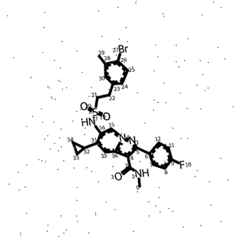 CNC(=O)c1c(-c2ccc(F)cc2)nn2cc(NS(=O)(=O)CCc3ccc(Br)c(C)c3)c(C3CC3)cc12